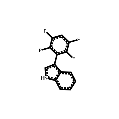 Fc1cc(F)c(F)c(-c2c[nH]c3ccccc23)c1F